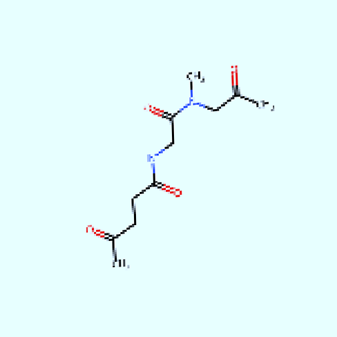 CC(=O)CCC(=O)NCC(=O)N(C)CC(C)=O